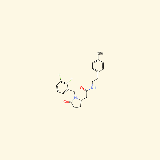 CC(C)(C)c1ccc(CCNC(=O)CC2CCC(=O)N2Cc2cccc(F)c2F)cc1